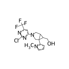 Cn1cccc1C12CN(c3cc(C(F)(F)F)nc(Cl)n3)CC1C2CO